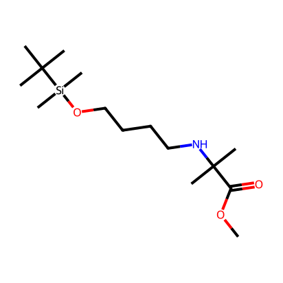 COC(=O)C(C)(C)NCCCCO[Si](C)(C)C(C)(C)C